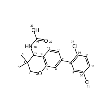 CC1(C)COc2cc(-c3cc(Cl)ccc3Cl)ccc2C1NC(=O)O